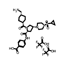 NC[C@H]1CC[C@H](C(=O)N2C[C@@H](N3CCN(S(=O)(=O)C4CC4)CC3)C[C@H]2C(=O)Nc2ccc(C(=O)O)cc2)CC1.O=C(O)C(F)(F)F.O=C(O)C(F)(F)F